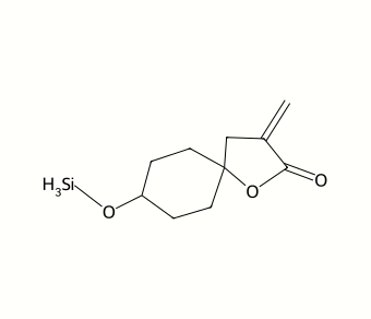 C=C1CC2(CCC(O[SiH3])CC2)OC1=O